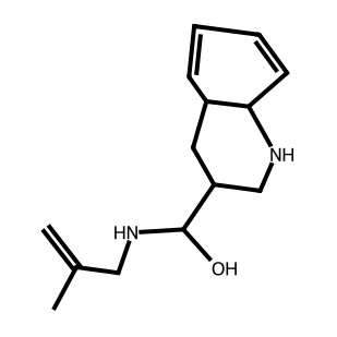 C=C(C)CNC(O)C1CNC2C=CC=CC2C1